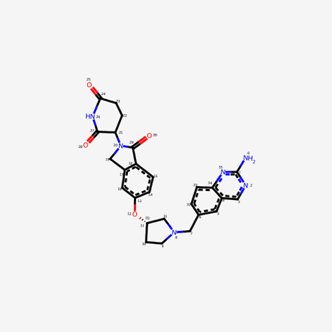 Nc1ncc2cc(CN3CC[C@H](Oc4ccc5c(c4)CN(C4CCC(=O)NC4=O)C5=O)C3)ccc2n1